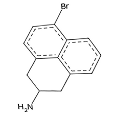 NC1Cc2cccc3c(Br)ccc(c23)C1